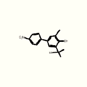 CCC(C)(C)c1cc(-c2ccc([N+](=O)[O-])cc2)cc(C)c1O